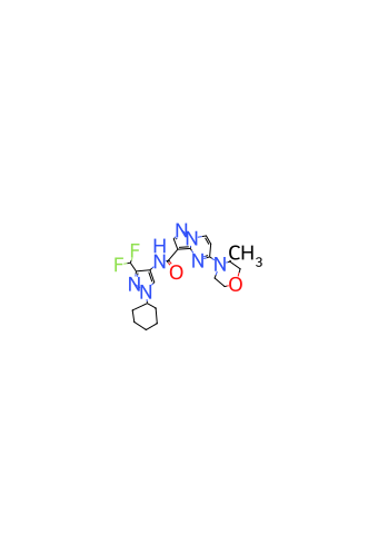 C[C@H]1COCCN1c1ccn2ncc(C(=O)Nc3cn(C4CCCCC4)nc3C(F)F)c2n1